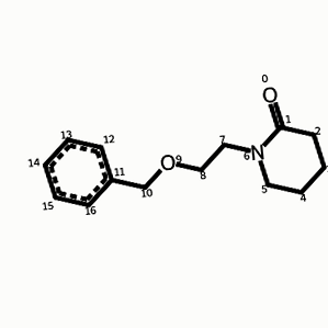 O=C1CCCCN1CCOCc1ccccc1